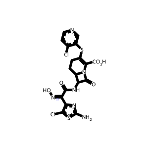 Nc1nc(/C(=N/O)C(=O)NC2C(=O)N3C(C(=O)O)=C(Sc4cnccc4Cl)CCC23)c(Cl)s1